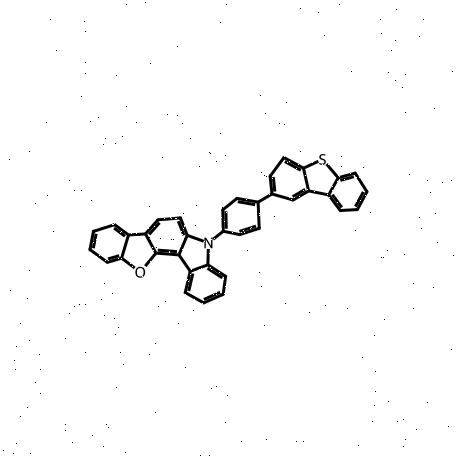 c1ccc2c(c1)oc1c2ccc2c1c1ccccc1n2-c1ccc(-c2ccc3sc4ccccc4c3c2)cc1